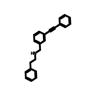 C(#Cc1cccc(CNCCc2ccccc2)c1)c1ccccc1